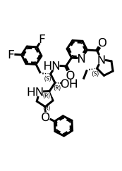 CC[C@H]1CCCN1C(=O)c1cccc(C(=O)N[C@@H](Cc2cc(F)cc(F)c2)[C@H](O)[C@H]2C[C@@H](Oc3ccccc3)CN2)n1